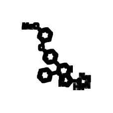 COc1cccc(Oc2ccc(-c3cnc4c(-c5nnn[nH]5)cnn4c3-c3ccccc3)cc2)c1